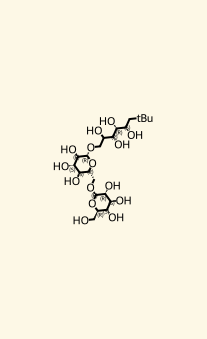 CC(C)(C)C[C@H](O)[C@@H](O)[C@H](O)C(O)CO[C@@H]1O[C@H](CO[C@@H]2O[C@H](CO)[C@@H](O)[C@H](O)[C@H]2O)[C@@H](O)[C@H](O)[C@H]1O